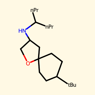 CCCC(CCC)NC1COC2(CCC(C(C)(C)C)CC2)C1